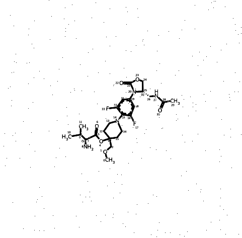 COCC1(OC(=O)[C@@H](N)C(C)C)CCN(c2c(F)cc(N3C(=O)OC[C@@H]3CNC(C)=O)cc2F)CC1